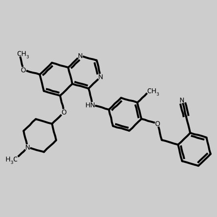 COc1cc(OC2CCN(C)CC2)c2c(Nc3ccc(OCc4ccccc4C#N)c(C)c3)ncnc2c1